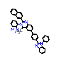 C=C1c2cc(-c3ccc(-c4nc5ccccc5n4-c4ccccc4)cc3)ccc2N=C(c2ccc3ccccc3c2)N1c1ccccc1N